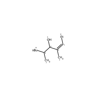 CCC=C(C)C(O)C(C)CCCC